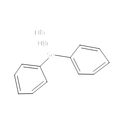 Br.Br.c1ccc([Se]c2ccccc2)cc1